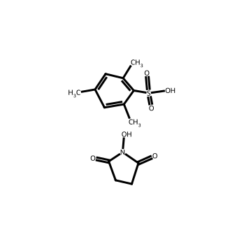 Cc1cc(C)c(S(=O)(=O)O)c(C)c1.O=C1CCC(=O)N1O